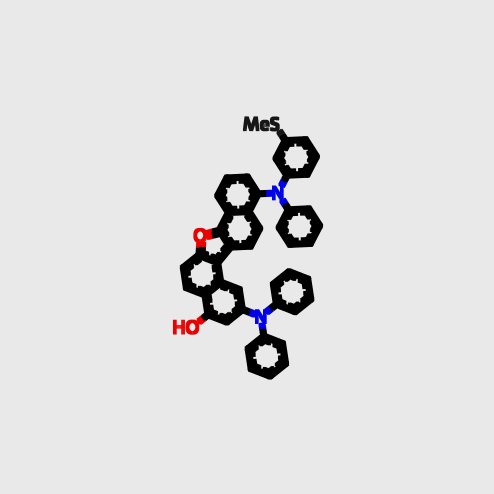 CSc1cccc(N(c2ccccc2)c2cccc3c2ccc2c3oc3ccc4c(O)cc(N(c5ccccc5)c5ccccc5)cc4c32)c1